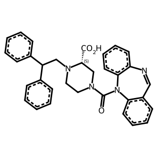 O=C(O)[C@@H]1CN(C(=O)N2c3ccccc3C=Nc3ccccc32)CCN1CC(c1ccccc1)c1ccccc1